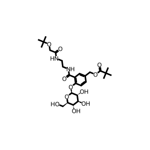 CC(C)(C)OCC(=O)NCCNC(=O)c1cc(COC(=O)C(C)(C)C)ccc1O[C@@H]1O[C@H](CO)[C@@H](O)[C@H](O)[C@H]1O